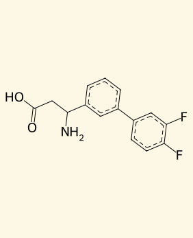 NC(CC(=O)O)c1cccc(-c2ccc(F)c(F)c2)c1